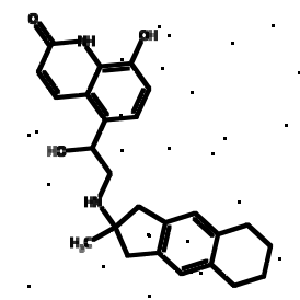 CC1(NCC(O)c2ccc(O)c3[nH]c(=O)ccc23)Cc2cc3c(cc2C1)CCCC3